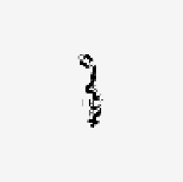 CC(C)(C)c1csc(NC(=O)c2ccc(C#CCN3CCOCC3)s2)n1